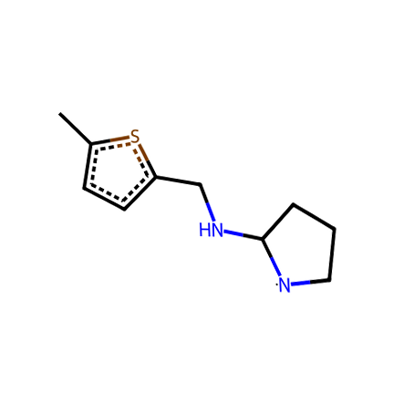 Cc1ccc(CNC2CCC[N]2)s1